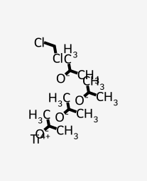 CC(C)[O-].CC(C)[O-].CC(C)[O-].CC(C)[O-].ClCCl.[Ti+4]